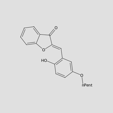 CCCCCOc1ccc(O)c(C=C2Oc3ccccc3C2=O)c1